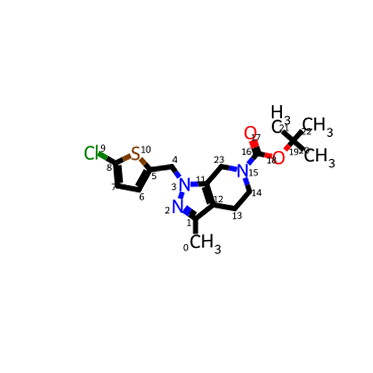 Cc1nn(Cc2ccc(Cl)s2)c2c1CCN(C(=O)OC(C)(C)C)C2